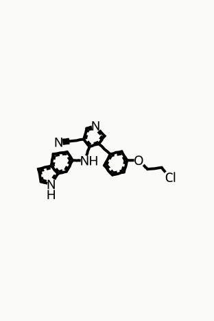 N#Cc1cncc(-c2cccc(OCCCl)c2)c1Nc1ccc2cc[nH]c2c1